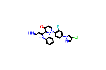 N=C/C=C(\Nc1ccccc1)c1nn(-c2ccc(-n3cc(Cl)cn3)cc2F)ccc1=O